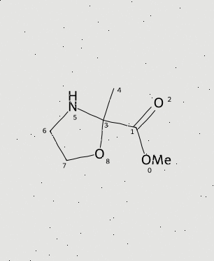 COC(=O)C1(C)NCCO1